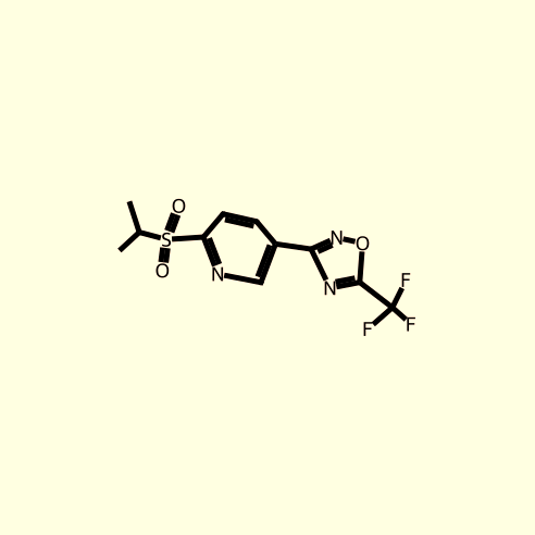 CC(C)S(=O)(=O)c1ccc(-c2noc(C(F)(F)F)n2)cn1